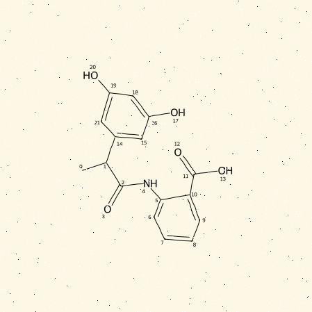 CC(C(=O)Nc1ccccc1C(=O)O)c1cc(O)cc(O)c1